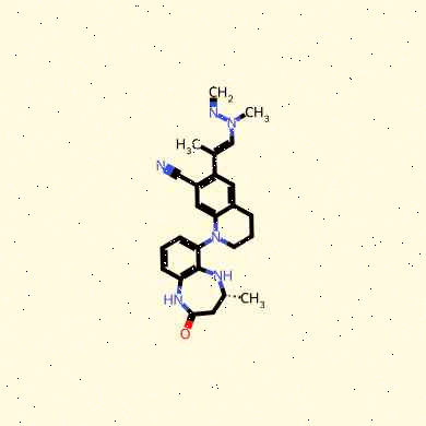 C=NN(C)/C=C(\C)c1cc2c(cc1C#N)N(c1cccc3c1N[C@H](C)CC(=O)N3)CCC2